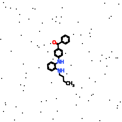 CCCCNc1ccccc1Nc1ccc(C(=O)c2ccccc2)cc1